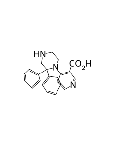 O=C(O)c1cnccc1N1CCNCC1(c1ccccc1)c1ccccc1